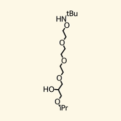 CC(C)OCC(O)COCCOCCOCCONC(C)(C)C